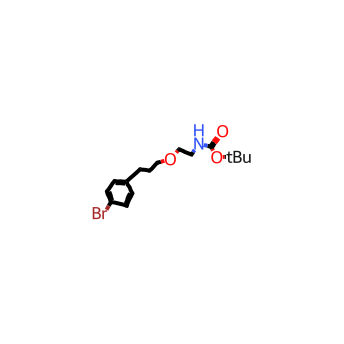 CC(C)(C)OC(=O)NCCOCCCc1ccc(Br)cc1